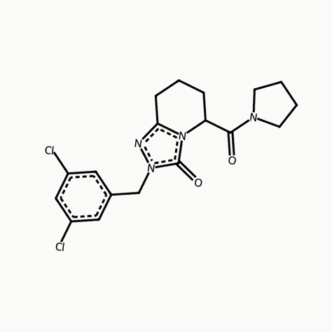 O=C(C1CCCc2nn(Cc3cc(Cl)cc(Cl)c3)c(=O)n21)N1CCCC1